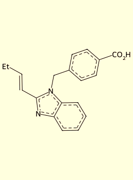 CCC=Cc1nc2ccccc2n1Cc1ccc(C(=O)O)cc1